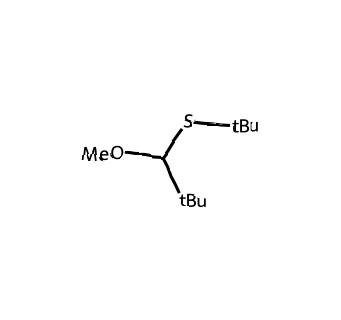 COC(SC(C)(C)C)C(C)(C)C